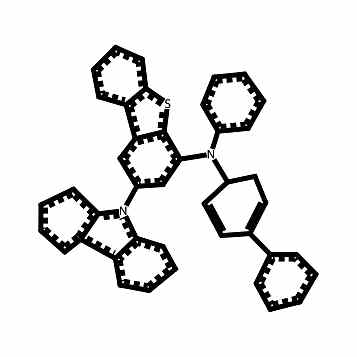 C1=CC(N(c2ccccc2)c2cc(-n3c4ccccc4c4ccccc43)cc3c2sc2ccccc23)CC=C1c1ccccc1